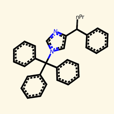 CCCC(c1ccccc1)c1cn(C(c2ccccc2)(c2ccccc2)c2ccccc2)cn1